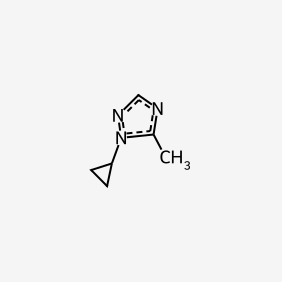 Cc1ncnn1C1CC1